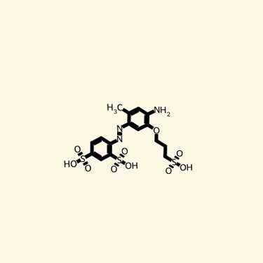 Cc1cc(N)c(OCCCS(=O)(=O)O)cc1N=Nc1ccc(S(=O)(=O)O)cc1S(=O)(=O)O